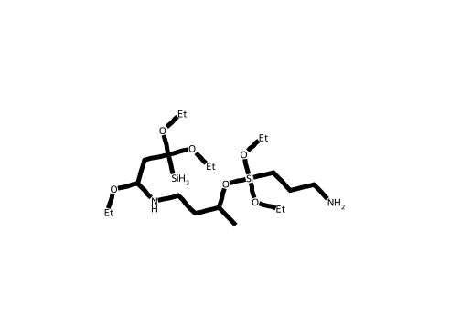 CCOC(CC([SiH3])(OCC)OCC)NCCC(C)O[Si](CCCN)(OCC)OCC